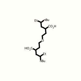 CCCCC(CC)CC(CCOCCC(CC(CC)CCCC)C(=O)O)C(=O)O